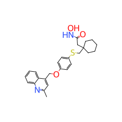 Cc1cc(COc2ccc(SCC3(CC(=O)NO)CCCCC3)cc2)c2ccccc2n1